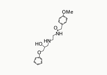 COc1ccc(CC(=O)NCCNCC(O)COc2ccccc2)cc1